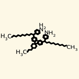 CCCCCCCCCCCC(c1ccc(N)cc1)c1ccc(C2(c3ccc(C(CCCCCCCCCCC)c4ccc(N)cc4)cc3)CCC(CCCC)CC2)cc1